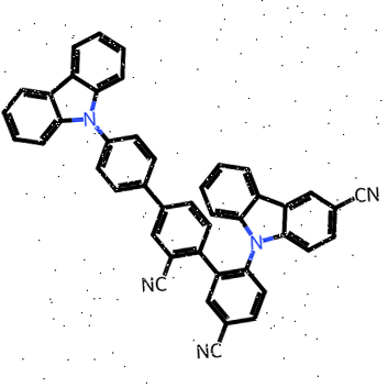 N#Cc1ccc(-n2c3ccccc3c3cc(C#N)ccc32)c(-c2ccc(-c3ccc(-n4c5ccccc5c5ccccc54)cc3)cc2C#N)c1